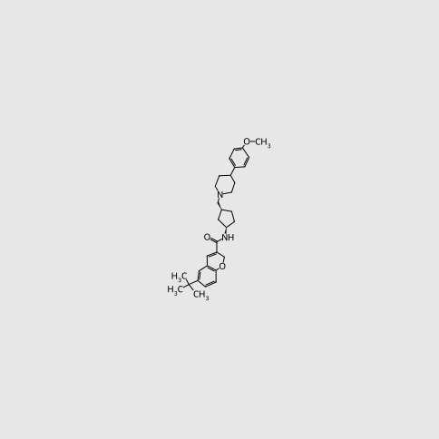 COc1ccc(C2CCN(C[C@H]3CC[C@@H](NC(=O)C4=Cc5cc(C(C)(C)C)ccc5OC4)C3)CC2)cc1